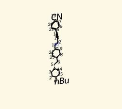 CCCC[C@H]1CC[C@H](CCC2CCC(/C=C/C#Cc3ccc(C#N)cc3)CC2)CC1